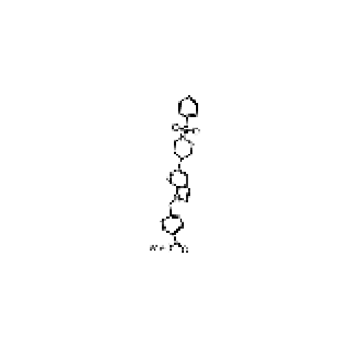 COC(=O)c1ccc(Cn2ccc3cc(C4CCN(S(=O)(=O)c5ccccc5)CC4)cnc32)cc1